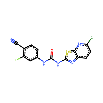 N#Cc1ccc(NC(=O)Nc2nc3ccc(Cl)nc3s2)cc1F